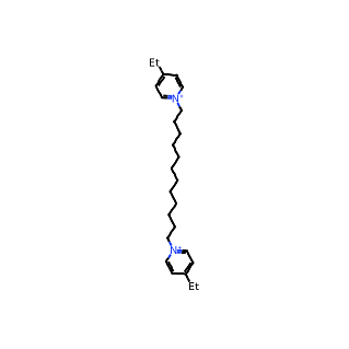 CCc1cc[n+](CCCCCCCCCCCC[n+]2ccc(CC)cc2)cc1